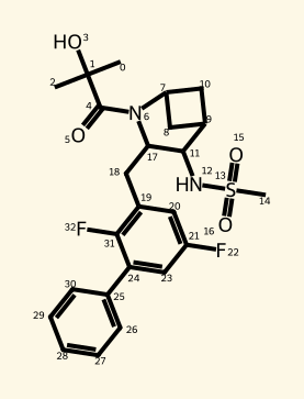 CC(C)(O)C(=O)N1C2CC(C2)C(NS(C)(=O)=O)C1Cc1cc(F)cc(-c2ccccc2)c1F